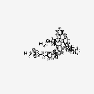 COCCCCC1(CNC(=O)C2CC(NS(=O)(=O)c3ccc(CCCOS(C)(=O)=O)cc3)CN(C(=O)OC(C)(C)C)C2)c2ccccc2Oc2ccccc21